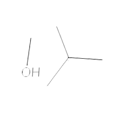 CO.C[C](C)C